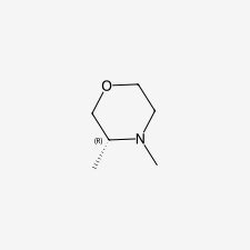 C[C@@H]1COCCN1C